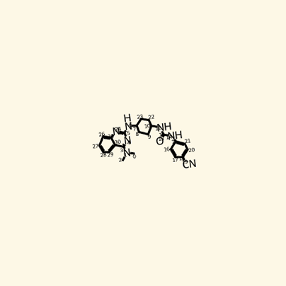 CN(C)c1nc(NC2CCC(NC(=O)Nc3ccc(C#N)cc3)CC2)nc2ccccc12